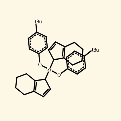 CC(C)(C)c1ccc([O][Zr]([O]c2ccc(C(C)(C)C)cc2)([CH]2C=CC3=C2CCCC3)[CH]2C=CC3=C2CCCC3)cc1